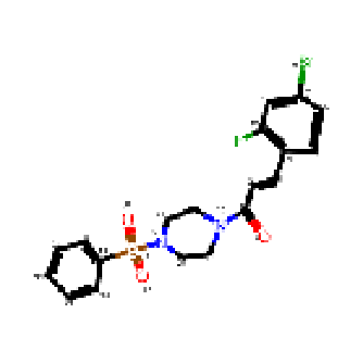 O=C(/C=C/c1ccc(Br)cc1F)N1CCN(S(=O)(=O)c2ccccc2)CC1